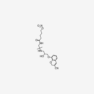 CC(C)(CNC(=O)CCCCO[N+](=O)[O-])NCC(O)COc1cccc2c1OCC(C#N)=C2